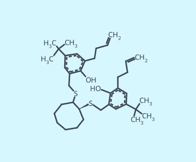 C=CCCc1cc(C(C)(C)C)cc(CSC2CCCCCC[C@@H]2SCc2cc(C(C)(C)C)cc(CCC=C)c2O)c1O